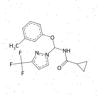 Cc1cccc(OC(NC(=O)C2CC2)n2ccc(C(F)(F)F)n2)c1